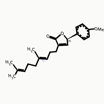 COc1ccc([C@H]2C=C(CC/C=C(\C)CCC=C(C)C)C(=O)O2)cc1